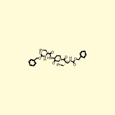 CC(C)C[C@@H](CNC(=O)OCc1ccccc1)C(=O)N1CCC(NC(=O)[C@H](CC(C)C)NC(=O)OCc2ccccc2)C(=O)C1